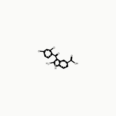 Cc1[nH]c2ccc(C(=O)O)cc2c1C(=O)c1ccc(Cl)cc1Cl